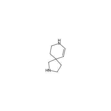 C1=CC2(CCN1)CCNC2